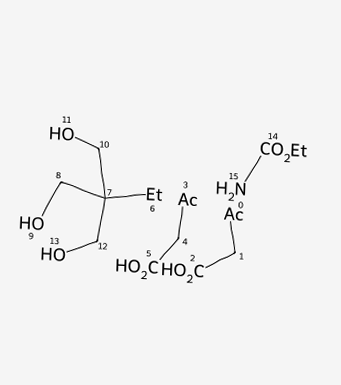 CC(=O)CC(=O)O.CC(=O)CC(=O)O.CCC(CO)(CO)CO.CCOC(N)=O